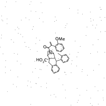 C=C(C(=O)N1C2CCC1C1(C(=O)O)Cc3ccccc3C(c3ccccc3C)C21)c1ccccc1OC